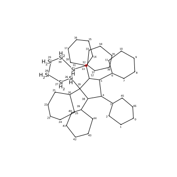 C1CCC(C2C(C3CCCCC3)C(C3CCCCC3)C(C3CCCCC3)([SiH]3[SiH2][SiH2][SiH2][SiH2][SiH]3C3CCCCC3)C2C2CCCCC2)CC1